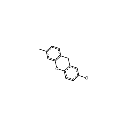 Cc1ccc2c(c1)Oc1ccc(Cl)cc1C2